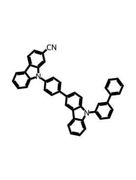 N#Cc1ccc2c3ccccc3n(-c3ccc(-c4ccc5c(c4)c4ccccc4n5-c4cccc(-c5ccccc5)c4)cc3)c2c1